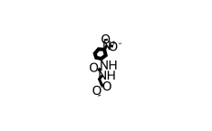 COC(=O)CNC(=O)Nc1cccc([N+](=O)[O-])c1